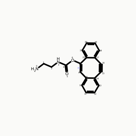 NCCNC(=O)O/C1=C/c2ccccc2C#Cc2ccccc21